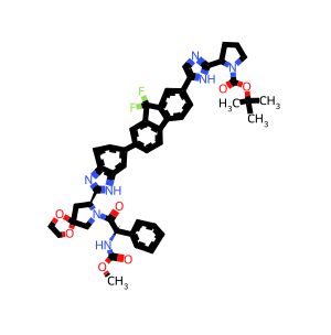 COC(=O)N[C@@H](C(=O)N1CC2(C[C@H]1c1nc3ccc(-c4ccc5c(c4)C(F)(F)c4cc(-c6cnc(C7CCCN7C(=O)OC(C)(C)C)[nH]6)ccc4-5)cc3[nH]1)OCCO2)c1ccccc1